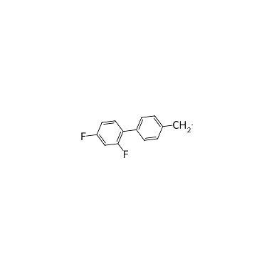 [CH2]c1ccc(-c2ccc(F)cc2F)cc1